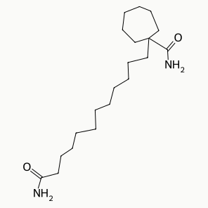 NC(=O)CCCCCCCCCCCC1(C(N)=O)CCCCCC1